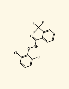 O=C(NOc1c(Cl)cccc1Cl)c1ccccc1C(F)(F)F